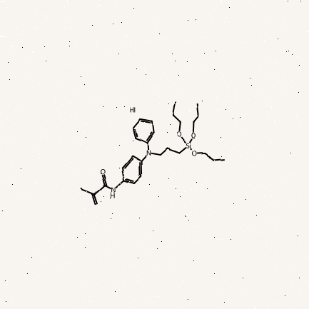 C=C(C)C(=O)Nc1ccc(N(CCC[Si](OCCC)(OCCC)OCCC)c2ccccc2)cc1.I